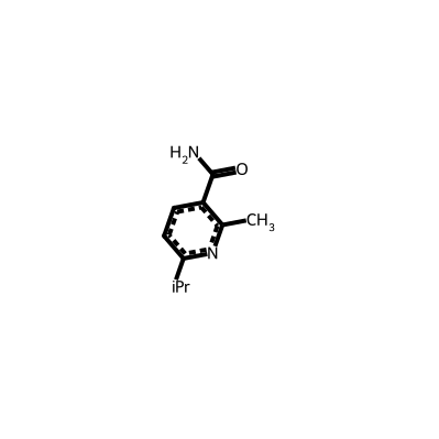 Cc1nc(C(C)C)ccc1C(N)=O